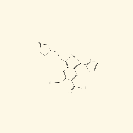 CC(C)Oc1cc2c(OCC3CCC(=O)N3)ncc(-c3ncco3)c2cc1C(N)=O